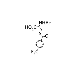 CC(=O)NC(CSC(=O)c1ccc(C(F)(F)F)cc1)C(=O)O